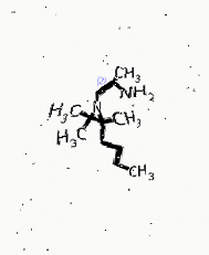 CCCCC1(C)N(/C=C(/C)N)C1(C)C